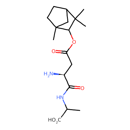 CC(NC(=O)[C@@H](N)CC(=O)OC1C2(C)CCC(C2)C1(C)C)C(=O)O